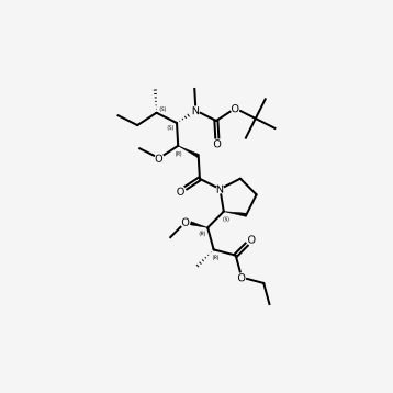 CCOC(=O)[C@H](C)[C@@H](OC)[C@@H]1CCCN1C(=O)C[C@@H](OC)[C@H]([C@@H](C)CC)N(C)C(=O)OC(C)(C)C